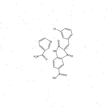 NC(=O)c1cccnc1.O=C1Nc2ccc(C(=O)O)cc2C(=O)/C1=C/c1cccc(Cl)c1